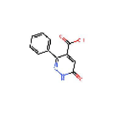 O=C(O)c1cc(=O)[nH]nc1-c1ccccc1